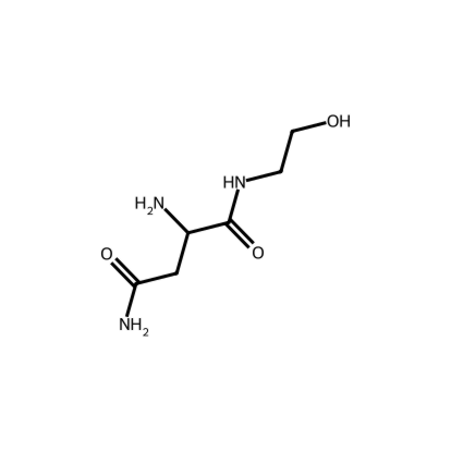 NC(=O)CC(N)C(=O)NCCO